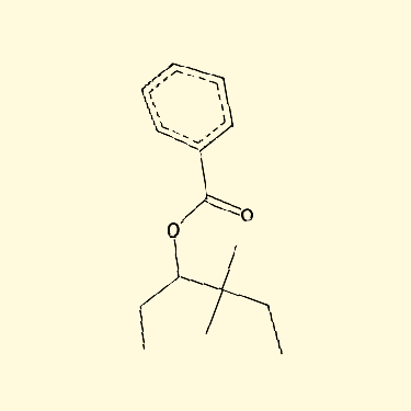 CCC(OC(=O)c1ccccc1)C(C)(C)CC